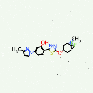 Cc1ccn(-c2ccc(-c3nnc(OC4CC5CN(C)C(C4)C5(F)F)s3)c(O)c2)n1